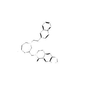 Br.O=C1c2cc3c(cc2CCN1CC1CCCCN(CCc2ccc4ccccc4c2)C1)OCO3